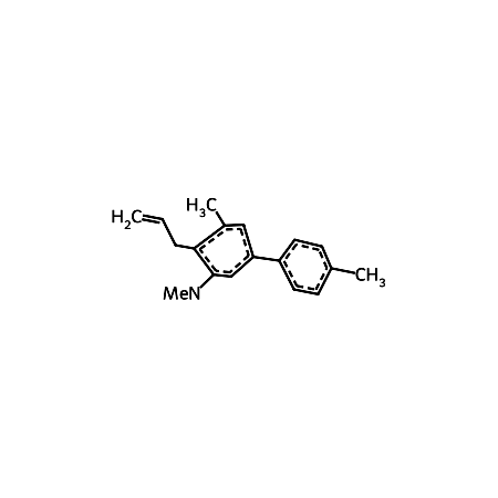 C=CCc1c(C)cc(-c2ccc(C)cc2)cc1NC